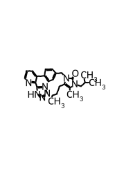 CCCCc1c(C)n(CC(C)C)c(=O)n1Cc1ccc(-c2cccnc2-c2nnn[nH]2)cc1